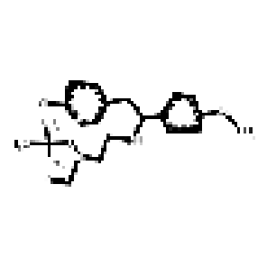 COc1ccc(C(Cc2ccc(Cl)nc2)NCCN(C=O)OC(C)(C)C)cc1